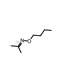 [CH2]/C(C)=N/OCCCC